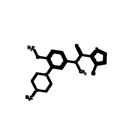 COc1ccc(N(C)C(=O)c2sccc2Br)cc1N1CCN(C)CC1